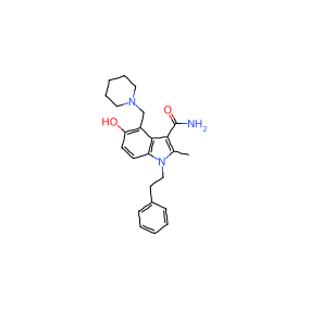 Cc1c(C(N)=O)c2c(CN3CCCCC3)c(O)ccc2n1CCc1ccccc1